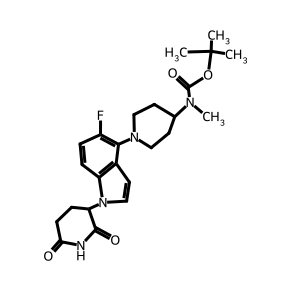 CN(C(=O)OC(C)(C)C)C1CCN(c2c(F)ccc3c2ccn3C2CCC(=O)NC2=O)CC1